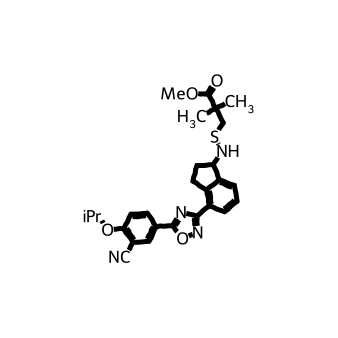 COC(=O)C(C)(C)CSNC1CCc2c(-c3noc(-c4ccc(OC(C)C)c(C#N)c4)n3)cccc21